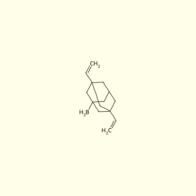 BC12CC3CC(C=C)(C1)CC(C=C)(C3)C2